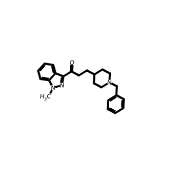 Cn1nc(C(=O)CCC2CCN(Cc3ccccc3)CC2)c2ccccc21